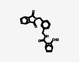 O=CC1C2C=CC(C2)C1C(=O)NCc1cccc(CN2C(=O)C3C4C=CC(C4)C3C2=O)c1